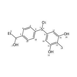 CCC(O)c1ccc([S+]([O-])c2cc(O)c(C)c(O)c2)cc1